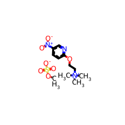 COS(=O)(=O)[O-].C[N+](C)(C)CCOc1ccc([N+](=O)[O-])cn1